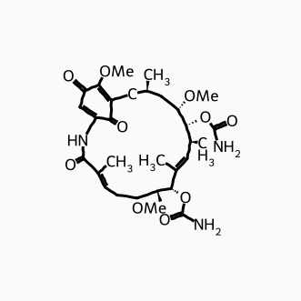 COC1=C2C[C@@H](C)C[C@H](OC)[C@H](OC(N)=O)[C@@H](C)/C=C(\C)[C@H](OC(N)=O)[C@@H](OC)CC/C=C(\C)C(=O)NC(=CC1=O)C2=O